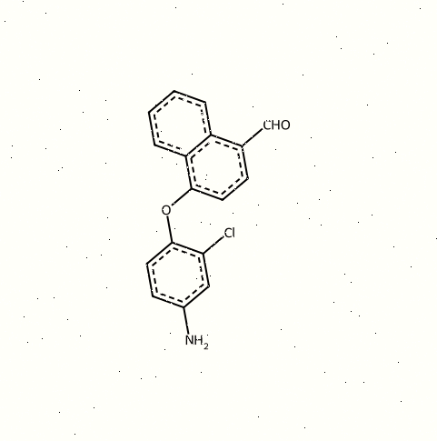 Nc1ccc(Oc2ccc(C=O)c3ccccc23)c(Cl)c1